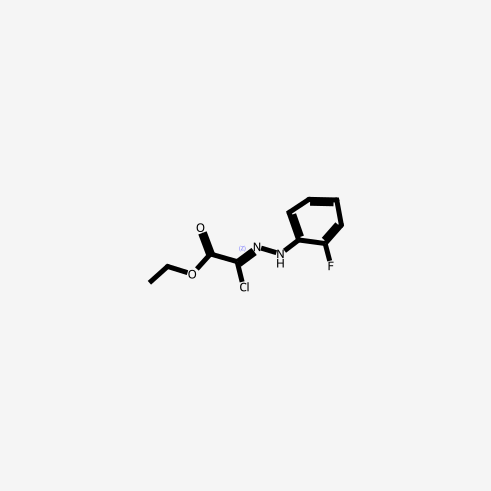 CCOC(=O)/C(Cl)=N/Nc1ccccc1F